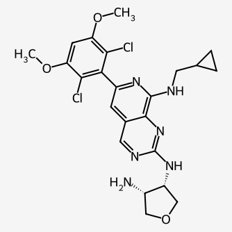 COc1cc(OC)c(Cl)c(-c2cc3cnc(N[C@@H]4COC[C@@H]4N)nc3c(NCC3CC3)n2)c1Cl